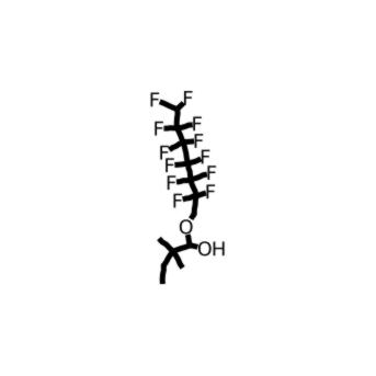 CCC(C)(C)C(O)OCC(F)(F)C(F)(F)C(F)(F)C(F)(F)C(F)(F)C(F)F